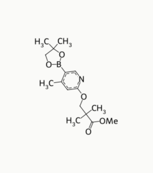 COC(=O)C(C)(C)COc1cc(C)c(B2OCC(C)(C)O2)cn1